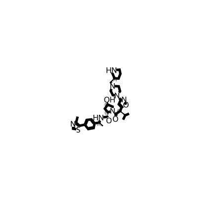 Cc1ncsc1-c1ccc([C@H](C)NC(=O)[C@@H]2C[C@@H](O)CN2C(=O)[C@@H](c2cc(N3CCN(C[C@@H]4CCCNC4)CC3)no2)C(C)C)cc1